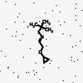 CC(C)(C)S/N=C/COC1CC1